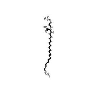 CCCCCCCCCCCCCCCCCCN[C@@H](CCSC)C(=O)O